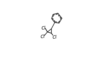 ClC1C(c2ccccc2)C1(Cl)Cl